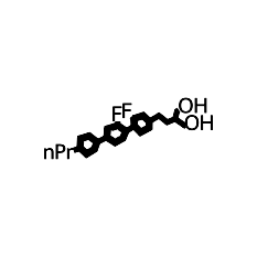 CCCc1ccc(-c2ccc(-c3ccc(CCC(CO)CO)cc3F)c(F)c2)cc1